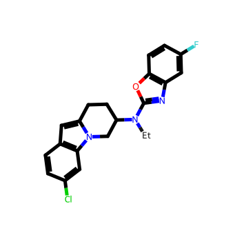 CCN(c1nc2cc(F)ccc2o1)C1CCc2cc3ccc(Cl)cc3n2C1